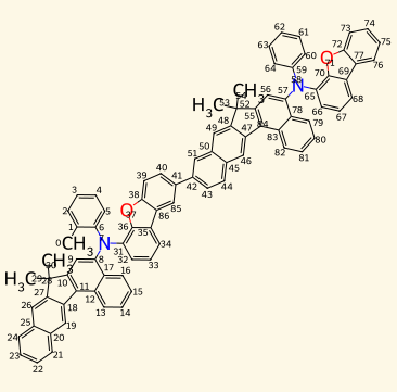 Cc1ccccc1N(c1cc2c(c3ccccc13)-c1cc3ccccc3cc1C2(C)C)c1cccc2c1oc1ccc(-c3ccc4cc5c(cc4c3)C(C)(C)c3cc(N(c4ccccc4)c4cccc6c4oc4ccccc46)c4ccccc4c3-5)cc12